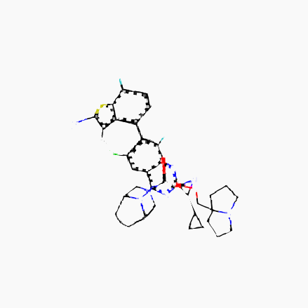 N#Cc1c(N)sc2c(F)ccc(-c3c(Cl)cc4c(N5C6CCC5CN(C(=O)[C@@H]5N[C@H]5C5CC5)C6)nc(OCC56CCCN5CCC6)nc4c3F)c12